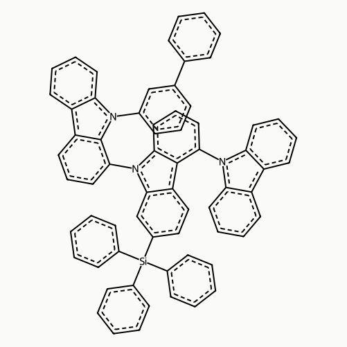 c1ccc(-c2cccc(-n3c4ccccc4c4cccc(-n5c6cc([Si](c7ccccc7)(c7ccccc7)c7ccccc7)ccc6c6c(-n7c8ccccc8c8ccccc87)cccc65)c43)c2)cc1